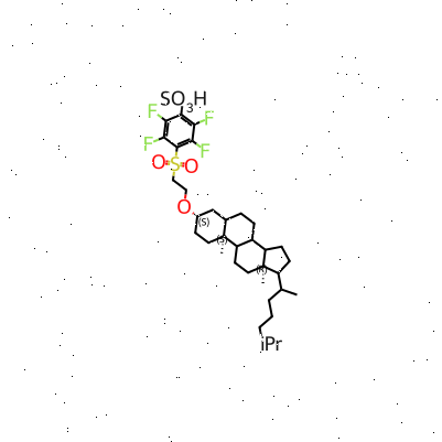 CC(C)CCCC(C)C1CCC2C3CCC4C[C@@H](OCCS(=O)(=O)c5c(F)c(F)c(S(=O)(=O)O)c(F)c5F)CC[C@]4(C)C3CC[C@]12C